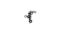 COC(=O)C1(Oc2cc(Cl)nc(OCc3ccccc3)n2)CC1